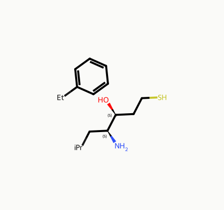 CC(C)C[C@H](N)[C@@H](O)CCS.CCc1ccccc1